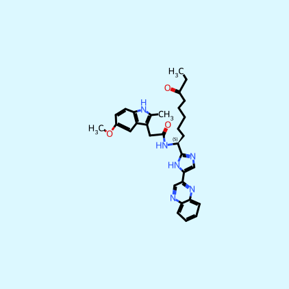 CCC(=O)CCCCC[C@H](NC(=O)Cc1c(C)[nH]c2ccc(OC)cc12)c1ncc(-c2cnc3ccccc3n2)[nH]1